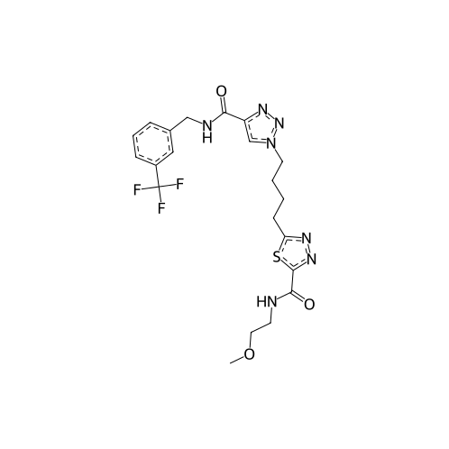 COCCNC(=O)c1nnc(CCCCn2cc(C(=O)NCc3cccc(C(F)(F)F)c3)nn2)s1